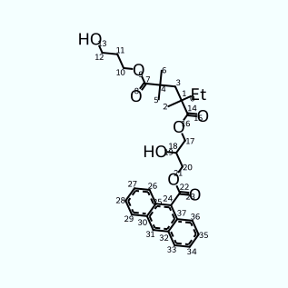 CCC(C)(CC(C)(C)C(=O)OCCCO)C(=O)OCC(O)COC(=O)c1c2ccccc2cc2ccccc12